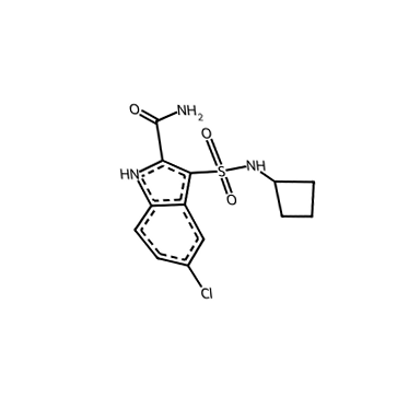 NC(=O)c1[nH]c2ccc(Cl)cc2c1S(=O)(=O)NC1CCC1